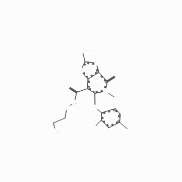 CSc1nc2c(C(=O)NOCCO)c(Nc3ccc(I)cc3F)n(C)c(=O)c2s1